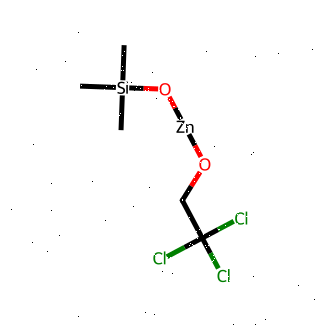 C[Si](C)(C)[O][Zn][O]CC(Cl)(Cl)Cl